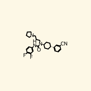 N#Cc1cccc([C@H]2CC[C@H](N(CCCN3CCCC3)C(=O)Nc3ccc(F)c(F)c3)CC2)c1